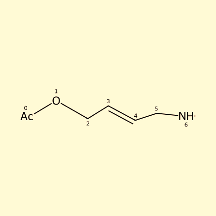 CC(=O)OCC=CC[NH]